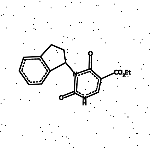 CCOC(=O)c1c[nH]c(=O)n(C2CCc3ccccc32)c1=O